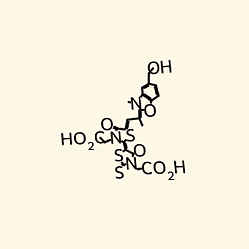 C/C(C=c1s/c(=C2/SC(=S)N(CC(=O)O)C2=O)n(CC(=O)O)c1=O)=C1\Oc2ccc(CO)cc2N1C